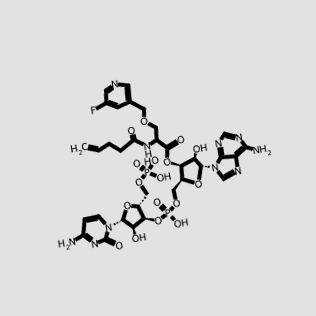 C=CCCC(=O)NC(COCc1cncc(F)c1)C(=O)O[C@H]1[C@@H](O)[C@H](n2cnc3c(N)ncnc32)O[C@H]1COP(=O)(O)O[C@H]1[C@@H](O)[C@H](n2ccc(N)nc2=O)O[C@@H]1COP(=O)(O)O